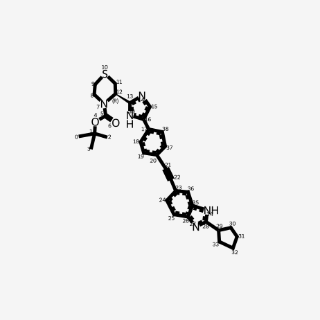 CC(C)(C)OC(=O)N1CCSC[C@H]1c1ncc(-c2ccc(C#Cc3ccc4nc(C5CCCC5)[nH]c4c3)cc2)[nH]1